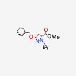 COC(=O)c1cc(OCc2ccccc2)nn1CC(C)C